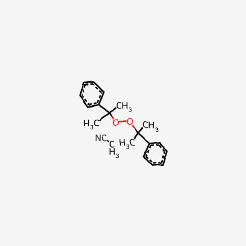 CC#N.CC(C)(OOC(C)(C)c1ccccc1)c1ccccc1